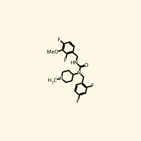 COc1c(F)ccc(CNC(=O)N(Cc2ccc(F)cc2F)C2CCN(C)CC2)c1F